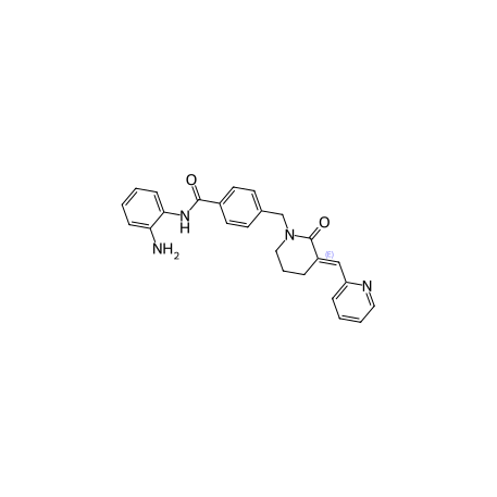 Nc1ccccc1NC(=O)c1ccc(CN2CCC/C(=C\c3ccccn3)C2=O)cc1